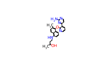 Cc1ccc2c(NCC[C@@H](C)O)cccc2c1Oc1ncccc1-c1ccnc(N)n1